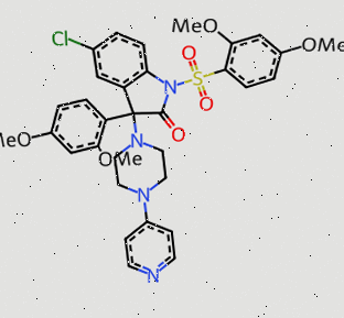 COc1ccc(C2(N3CCN(c4ccncc4)CC3)C(=O)N(S(=O)(=O)c3ccc(OC)cc3OC)c3ccc(Cl)cc32)c(OC)c1